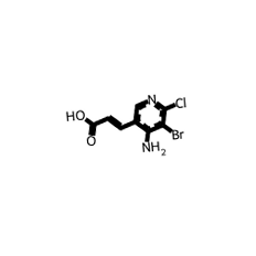 Nc1c(C=CC(=O)O)cnc(Cl)c1Br